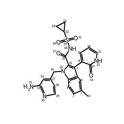 Cc1ccc2c(c1)c(-c1ccc[nH]c1=O)c(C(=O)NS(=O)(=O)C1CC1)n2Cc1ccnc(N)c1